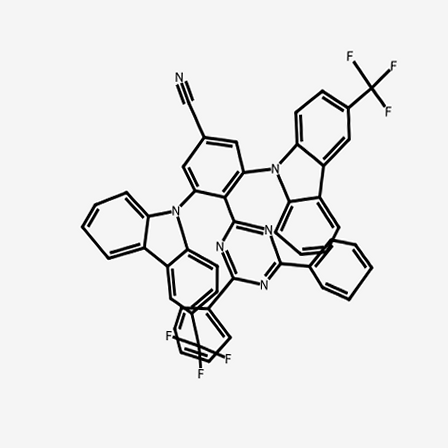 N#Cc1cc(-n2c3ccccc3c3cc(C(F)(F)F)ccc32)c(-c2nc(-c3ccccc3)nc(-c3ccccc3)n2)c(-n2c3ccccc3c3cc(C(F)(F)F)ccc32)c1